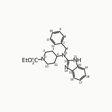 CCOC(=O)N1CCC(N(Cc2ccccc2)c2nc3ccccc3[nH]2)CC1